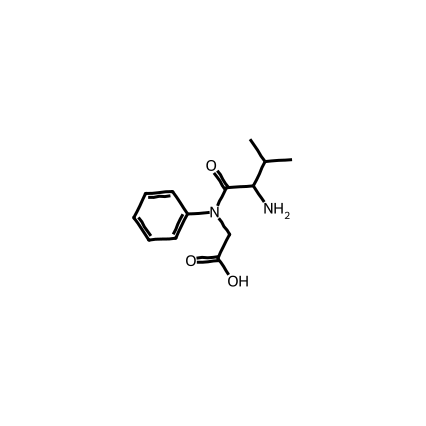 CC(C)C(N)C(=O)N(CC(=O)O)c1ccccc1